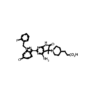 CC1(N2CCC(CCC(=O)O)CC2)C(=O)Nc2nc(-c3nn(Cc4ccccc4F)c4cc(Cl)ccc34)nc(N)c21